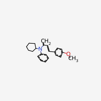 C=C(/C=C/c1ccc(OC)cc1)N(c1ccccc1)C1CCCCC1